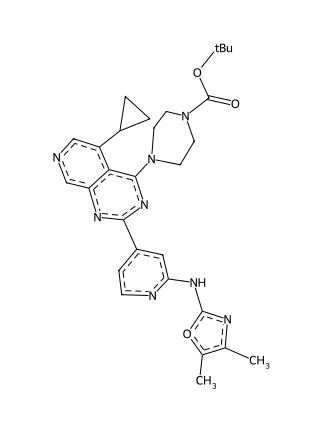 Cc1nc(Nc2cc(-c3nc(N4CCN(C(=O)OC(C)(C)C)CC4)c4c(C5CC5)cncc4n3)ccn2)oc1C